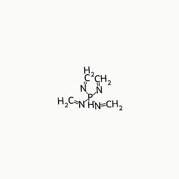 C=N[PH](N=C)(N=C)N=C